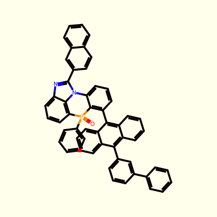 O=P1(c2ccccc2)c2c(-c3c4ccccc4c(-c4cccc(-c5ccccc5)c4)c4ccccc34)cccc2-n2c(-c3ccc4ccccc4c3)nc3cccc1c32